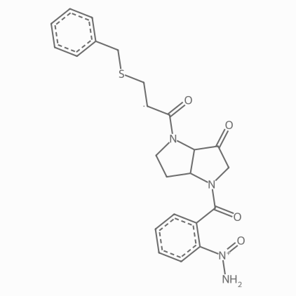 N[N+](=O)c1ccccc1C(=O)N1CC(=O)C2C1CCN2C(=O)[CH]CSCc1ccccc1